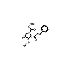 CC(C)(C)OC(=O)N1C[C@H](F)[C@@H](N=[N+]=[N-])[C@H]1C(=O)OCc1ccccc1